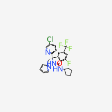 O=C(NC1CCCC1)N[C@](Cc1ccccn1)(c1cc(F)cc(C(F)(F)F)c1)c1ccc(Cl)cn1